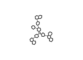 c1ccc(-c2cc(N(c3ccc(-c4cccc5ccccc45)cc3)c3ccc(-c4cc5ccccc5c5ccccc45)cc3)ccc2-c2ccc(-c3cccc4ccccc34)cc2)cc1